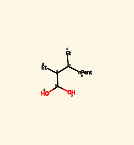 CCCCCC(CC)C(CC)C(O)O